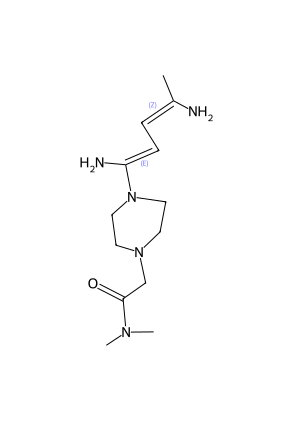 C/C(N)=C/C=C(\N)N1CCN(CC(=O)N(C)C)CC1